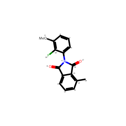 COc1cccc(N2C(=O)c3cccc(C)c3C2=O)c1F